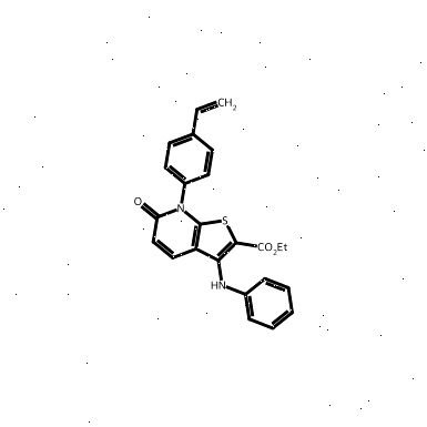 C=Cc1ccc(-n2c(=O)ccc3c(Nc4ccccc4)c(C(=O)OCC)sc32)cc1